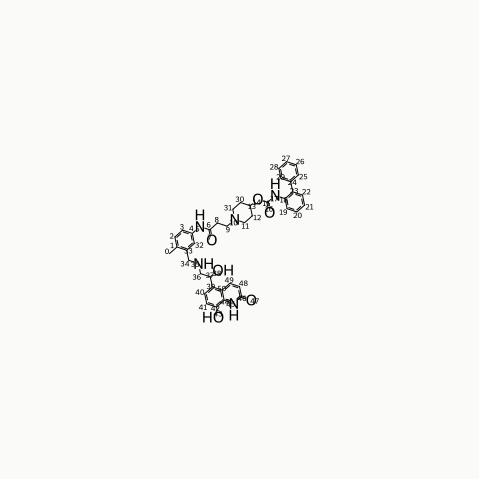 Cc1ccc(NC(=O)CCN2CCC(OC(=O)Nc3ccccc3-c3ccccc3)CC2)cc1CNCC(O)c1ccc(O)c2[nH]c(=O)ccc12